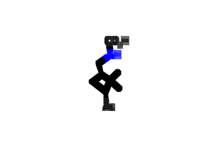 CC(=O)[C@H]1C[C@@H](CNC(=O)O)C1(C)C